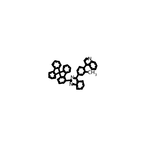 Cc1cc(-c2nc(-c3cccc4c3-c3ccccc3C43c4ccccc4-c4ccccc43)nc3ccccc23)ccc1-c1ccnc2ccccc12